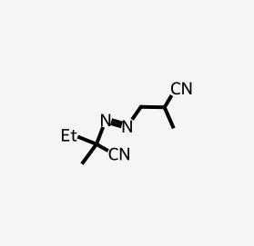 CCC(C)(C#N)N=NCC(C)C#N